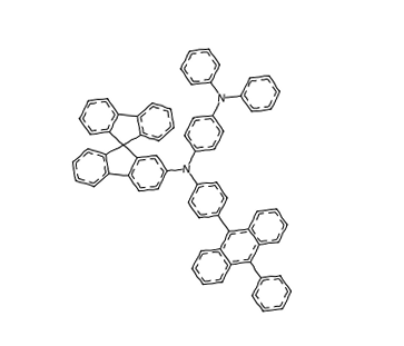 c1ccc(-c2c3ccccc3c(-c3ccc(N(c4ccc(N(c5ccccc5)c5ccccc5)cc4)c4ccc5c(c4)C4(c6ccccc6-c6ccccc64)c4ccccc4-5)cc3)c3ccccc23)cc1